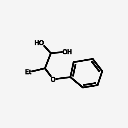 CCC(Oc1ccccc1)C(O)O